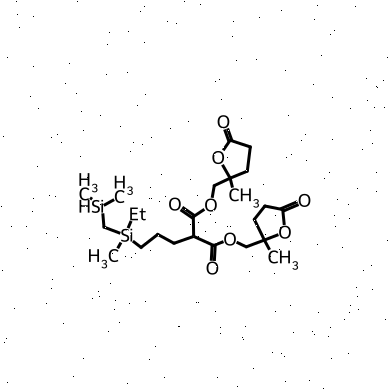 CC[Si](C)(CCCC(C(=O)OCC1(C)CCC(=O)O1)C(=O)OCC1(C)CCC(=O)O1)C[SiH](C)C